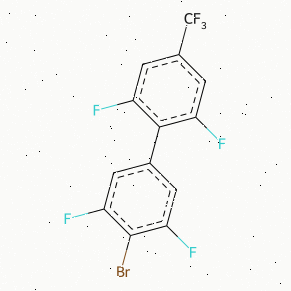 Fc1cc(-c2c(F)cc(C(F)(F)F)cc2F)cc(F)c1Br